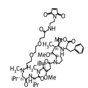 CC[C@H](C)[C@@H]([C@@H](CC(=O)N1CCC[C@H]1[C@H](OC)[C@@H](C)C(=O)NC(Cc1ccccc1)C(=O)OC)OC)N(C)C(=O)[C@@H](NC(=O)[C@H](C(C)C)N(C)CCCOCCOCCC(=O)NCCN1C(=O)C=CC1=O)C(C)C